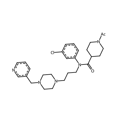 CC(=O)N1CCC(C(=O)N(CCCN2CCN(Cc3cccnc3)CC2)c2cccc(Cl)c2)CC1